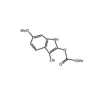 COC(=O)Oc1[nH]c2cc(OC)ccc2c1C#N